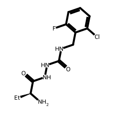 CC[C@H](N)C(=O)NNC(=O)NCc1c(F)cccc1Cl